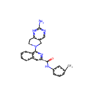 Nc1ncc2c(n1)CCN(c1nc(C(=O)Nc3cccc(C(F)(F)F)c3)cc3ccccc13)C2